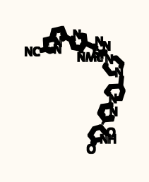 CNc1cc(-c2ccc3cc(C#N)cnn23)ncc1-c1nnc(N2CCN(CC3CCN(c4ccc([C@H]5CCC(=O)NC5=O)cn4)CC3)CC2)s1